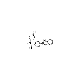 CN(C(=O)c1ccc(-n2cc3ccccc3n2)cc1)C1CCN(Cl)CC1